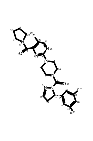 O=C(c1nc(N2CCN(C(=O)N3N=CC[C@H]3c3cc(F)cc(F)c3)CC2)ncc1F)N1CCCC1